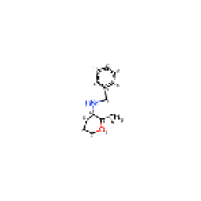 CC1OCCCC1NCc1ccccc1